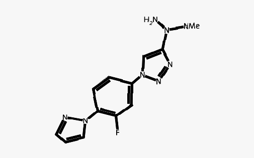 CNN(N)c1cn(-c2ccc(-n3cccn3)c(F)c2)nn1